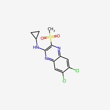 CS(=O)(=O)c1nc2cc(Cl)c(Cl)cc2nc1NC1CC1